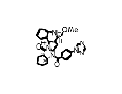 COC[C@@H]1Nc2ccccc2[C@H]2[C@H]1CCN2C(=O)[C@H]1CCCC[C@H]1NC(=O)c1ccc(-n2cncn2)cc1